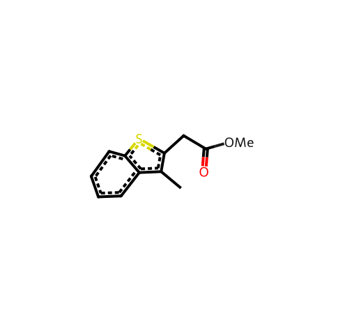 COC(=O)Cc1sc2ccccc2c1C